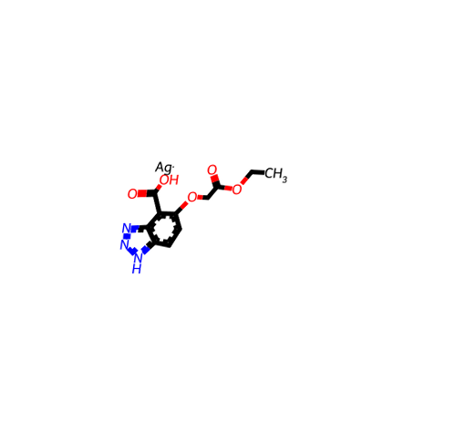 CCOC(=O)COc1ccc2[nH]nnc2c1C(=O)O.[Ag]